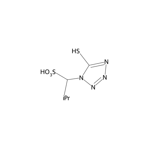 CC(C)C(n1nnnc1S)S(=O)(=O)O